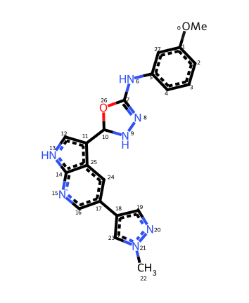 COc1cccc(NC2=NNC(c3c[nH]c4ncc(-c5cnn(C)c5)cc34)O2)c1